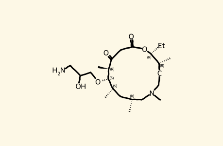 CC[C@H]1OC(=O)CC(=O)[C@H](C)[C@@H](OCC(O)CN)[C@@H](C)C[C@@H](C)CN(C)CC[C@H]1C